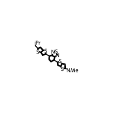 CNc1cc2sc(-c3ccc(-c4cc5sc(CC(C)C)cc5s4)c4nsnc34)cc2s1